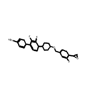 CCCC1=CCC(C2=CCC(C3CCC(OCC4C=C(F)C(C5CO5)CC4)CC3)C(F)=C2F)C=C1